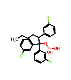 CCCCC(c1cccc(F)c1)C(OB(O)O)(c1cccc(F)c1)c1cccc(F)c1